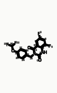 O=c1[nH]c2c(F)cc(F)cc2c(=O)n1Cc1ccc(OC(F)F)cc1